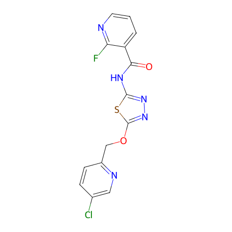 O=C(Nc1nnc(OCc2ccc(Cl)cn2)s1)c1cccnc1F